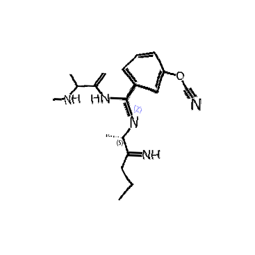 C=C(N/C(=N\[C@@H](C)C(=N)CCC)c1cccc(OC#N)c1)C(C)NC